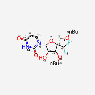 CCCCOC[C@@]1(C(F)F)O[C@@H](n2ccc(=O)[nH]c2=O)[C@H](O)[C@@H]1OCCCC